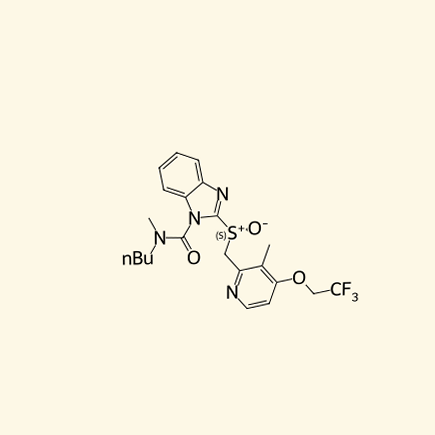 [CH2]CCCN(C)C(=O)n1c([S@+]([O-])Cc2nccc(OCC(F)(F)F)c2C)nc2ccccc21